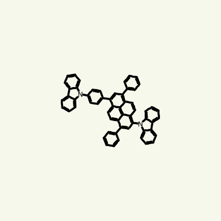 c1ccc(-c2cc(-c3ccc(-n4c5ccccc5c5ccccc54)cc3)c3ccc4c(-c5ccccc5)cc(-n5c6ccccc6c6ccccc65)c5ccc2c3c45)cc1